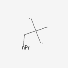 [CH2]C([CH2])(C)CCCC